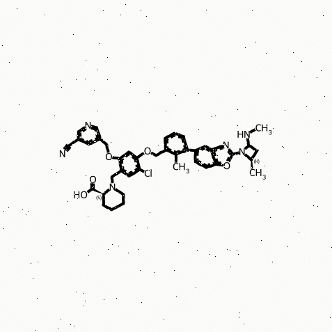 CNC1C[C@@H](C)N1c1nc2cc(-c3cccc(COc4cc(OCc5cncc(C#N)c5)c(CN5CCCC[C@H]5C(=O)O)cc4Cl)c3C)ccc2o1